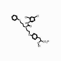 CCOC(Cc1ccc(OCCN(CCCSc2ccccc2)C(=O)Nc2ccc(Cl)cc2Cl)cc1)C(=O)O